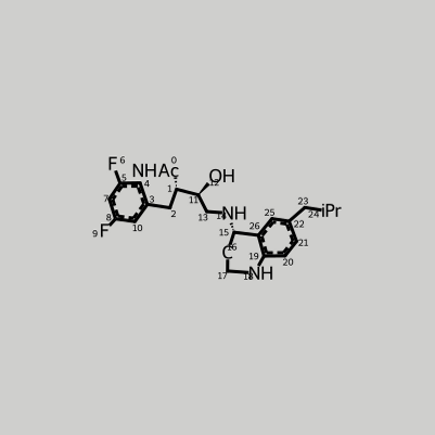 CC(=O)N[C@@H](Cc1cc(F)cc(F)c1)[C@@H](O)CN[C@H]1CCNc2ccc(CC(C)C)cc21